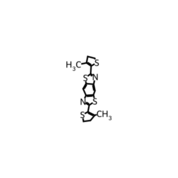 CC1=C(c2nc3cc4sc(C5=C(C)CCS5)nc4cc3s2)SCC1